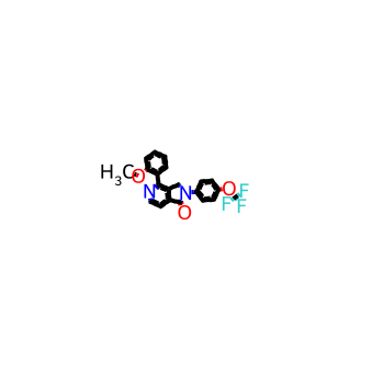 COc1ccccc1-c1nccc2c1CN(c1ccc(OC(F)(F)F)cc1)C2=O